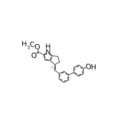 COC(=O)c1cc2c([nH]1)CC/C2=C\c1cccc(-c2ccc(O)cc2)c1